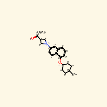 COC(=O)C1CN(c2ccc3c(OC4CCC(C(C)C)CC4)cccc3c2)C1